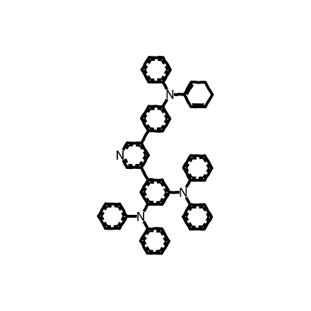 C1=CC(N(c2ccccc2)c2ccc(-c3cncc(-c4cc(N(c5ccccc5)c5ccccc5)cc(N(c5ccccc5)c5ccccc5)c4)c3)cc2)=CCC1